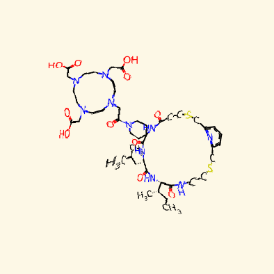 CC[C@H](C)[C@@H]1NC(=O)[C@H](CC(C)C)NC(=O)C2(CCN(C(=O)CN3CCN(CC(=O)O)CCN(CC(=O)O)CCN(CC(=O)O)CC3)CC2)NC(=O)CCSCc2cccc(n2)CSCCNC1=O